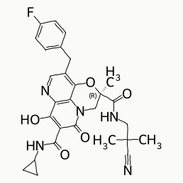 CC(C)(C#N)CNC(=O)[C@@]1(C)Cn2c(=O)c(C(=O)NC3CC3)c(O)c3ncc(Cc4ccc(F)cc4)c(c32)O1